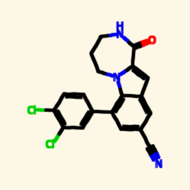 N#Cc1cc(-c2ccc(Cl)c(Cl)c2)c2c(c1)cc1n2CCCNC1=O